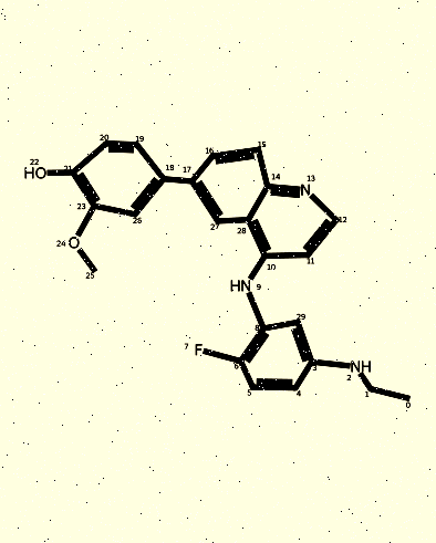 CCNc1ccc(F)c(Nc2ccnc3ccc(-c4ccc(O)c(OC)c4)cc23)c1